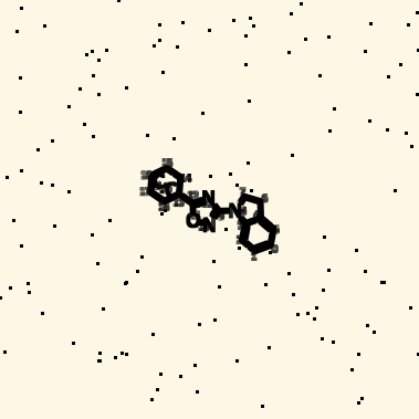 c1ccc2c(c1)CCN2c1noc(C23CCC(CC2)CC3)n1